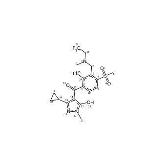 CN(Cc1c(S(C)(=O)=O)ccc(C(=O)c2c(C3CC3)nn(C)c2O)c1Cl)CC(F)(F)F